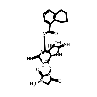 CN1CC(=O)N(C[C@@H]2NC(=N)N3CC(NC(=O)c4cccc5c4CCCC5)C(O)C34NC(=N)NC24)C1=O